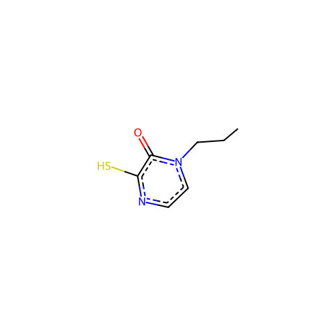 CCCn1ccnc(S)c1=O